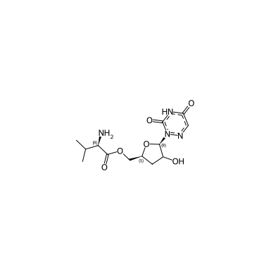 CC(C)[C@@H](N)C(=O)OC[C@@H]1CC(O)[C@H](n2ncc(=O)[nH]c2=O)O1